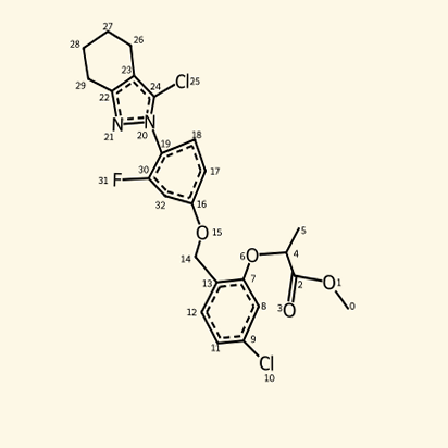 COC(=O)C(C)Oc1cc(Cl)ccc1COc1ccc(-n2nc3c(c2Cl)CCCC3)c(F)c1